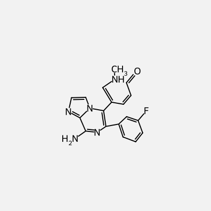 CN/C=C(\C=C/C=O)c1c(-c2cccc(F)c2)nc(N)c2nccn12